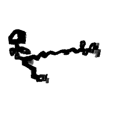 CCCC[C@H](CCCCCCCSCCC(=O)OC)OS(=O)(=O)c1ccccc1